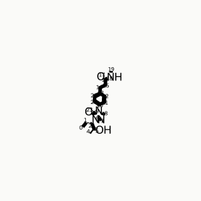 CC[C@@H]([C@H](C)O)n1ncn(-c2ccc(CCC(=O)NC)cc2)c1=O